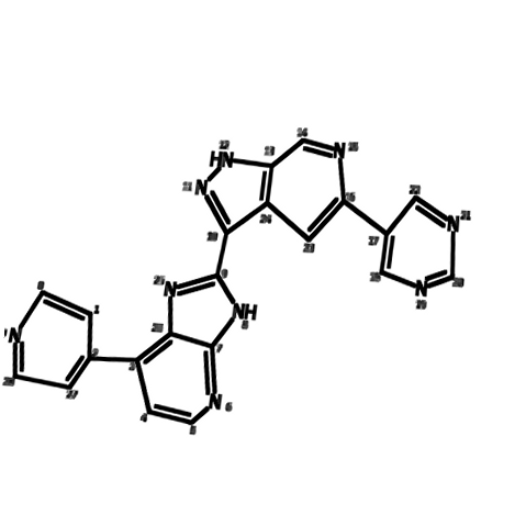 c1cc(-c2ccnc3[nH]c(-c4n[nH]c5cnc(-c6cncnc6)cc45)nc23)ccn1